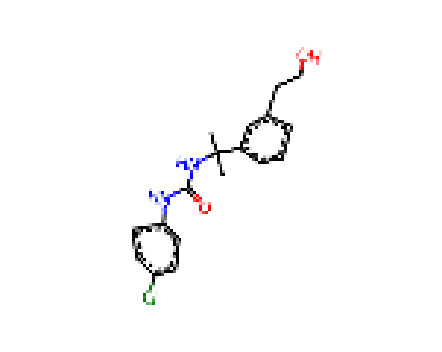 CC(C)(NC(=O)Nc1ccc(Cl)cc1)c1cccc(CCO)c1